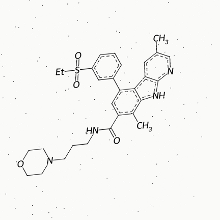 CCS(=O)(=O)c1cccc(-c2cc(C(=O)NCCCN3CCOCC3)c(C)c3[nH]c4ncc(C)cc4c23)c1